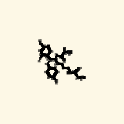 CC(C)(C)OC(=O)NCCCO[C@H](CC(=O)NO)[C@H](Cc1ccc(Cl)cc1)c1ccc(F)cc1F